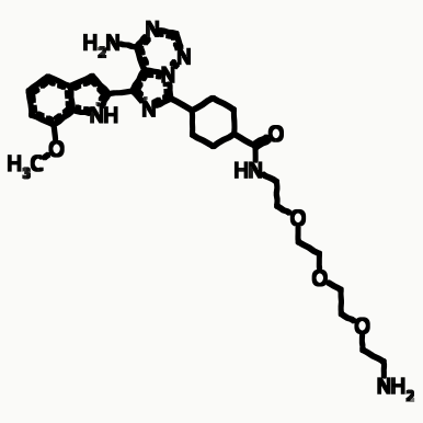 COc1cccc2cc(-c3nc(C4CCC(C(=O)NCCOCCOCCOCCN)CC4)n4ncnc(N)c34)[nH]c12